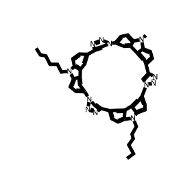 CCCCCCn1c2ccc3cc2c2cc(ccc21)n1cc(nn1)c1ccc2c(c1)c1cc(ccc1n2C)n1cc(nn1)c1ccc2c(c1)c1cc(ccc1n2CCCCCC)n1cc3nn1